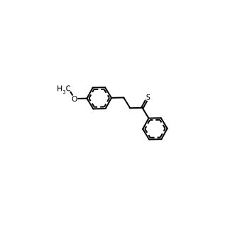 COc1ccc(CCC(=S)c2ccccc2)cc1